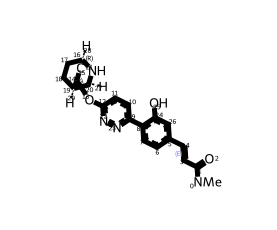 CNC(=O)/C=C/c1ccc(-c2ccc(O[C@@H]3C[C@H]4CC[C@@H]3CN4)nn2)c(O)c1